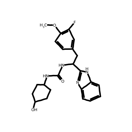 COc1ccc(CC(NC(=O)NC2CCC(O)CC2)c2nc3ccccc3[nH]2)cc1F